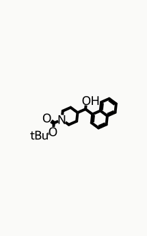 CC(C)(C)OC(=O)N1CCC(C(O)c2cccc3ccccc23)CC1